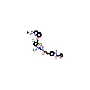 Cc1ccc2cccc(OCc3c(Cl)ccc(N(C)C(=O)CNC(=O)C=Cc4ccc(NC(=O)c5cccs5)cc4)c3Cl)c2n1